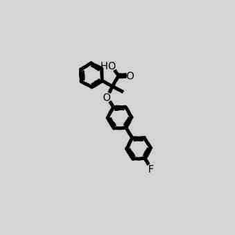 CC(Oc1ccc(-c2ccc(F)cc2)cc1)(C(=O)O)c1ccccc1